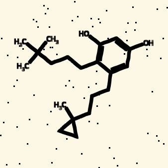 CC(C)(C)CCCc1c(O)cc(O)cc1CCCC1(C)CC1